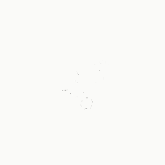 [2H]C1([2H])CC(C(=O)N2CC(=O)N3CCc4ccc(F)cc4[C@@H]3C2)CC([2H])(C)C1([2H])[2H]